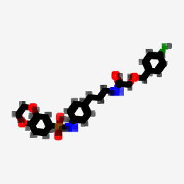 O=C(COCc1ccc(F)cc1)NCCCc1ccc(NS(=O)(=O)c2ccc3c(c2)OCCO3)cc1